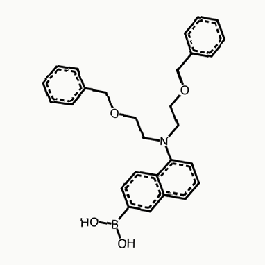 OB(O)c1ccc2c(N(CCOCc3ccccc3)CCOCc3ccccc3)cccc2c1